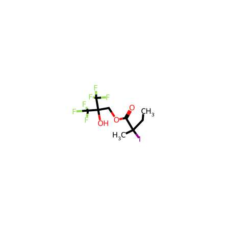 CCC(C)(I)C(=O)OCC(O)(C(F)(F)F)C(F)(F)F